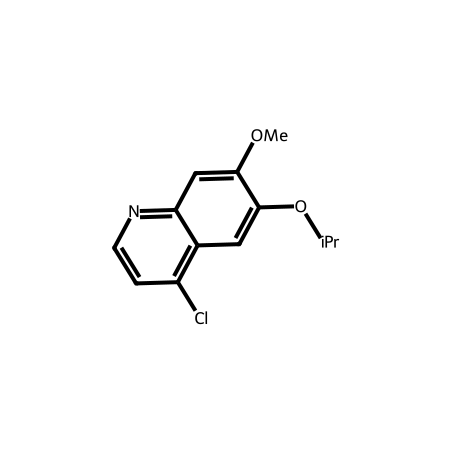 COc1cc2nccc(Cl)c2cc1OC(C)C